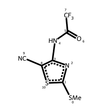 CSc1nc(NC(=O)C(F)(F)F)c(C#N)s1